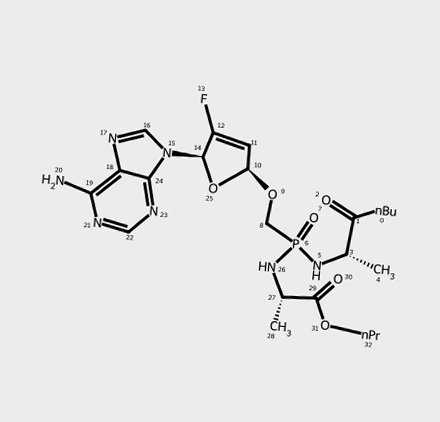 CCCCC(=O)[C@H](C)NP(=O)(CO[C@@H]1C=C(F)[C@H](n2cnc3c(N)ncnc32)O1)N[C@@H](C)C(=O)OCCC